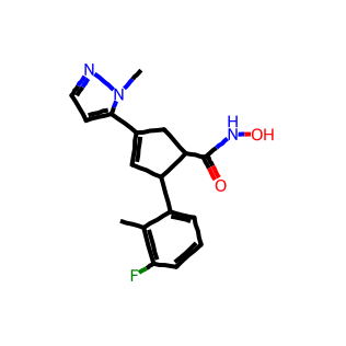 Cc1c(F)cccc1C1C=C(c2ccnn2C)CC1C(=O)NO